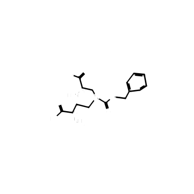 N[C@@H](CCN(C[C@H](N)C(=O)O)C(=O)OCc1ccccc1)C(=O)O